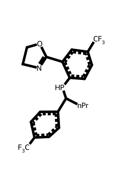 CCCC(Pc1ccc(C(F)(F)F)cc1C1=NCCO1)c1ccc(C(F)(F)F)cc1